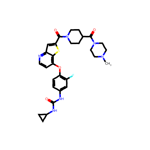 CN1CCN(C(=O)C2CCN(C(=O)c3cc4nccc(Oc5ccc(NC(=O)NC6CC6)cc5F)c4s3)CC2)CC1